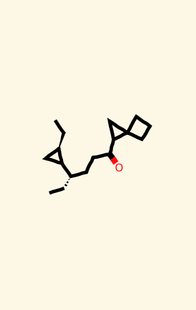 CC[C@@H]1CC1[C@@H](CC)CCC(=O)C1CC12CCC2